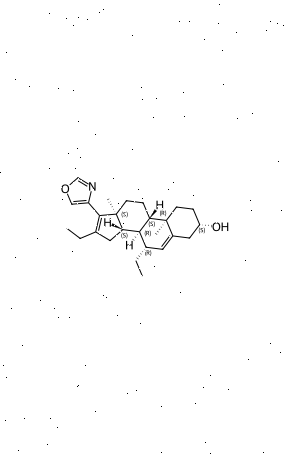 CCC1=C(c2cocn2)[C@@]2(C)CC[C@H]3[C@@H]([C@@H](CC)C=C4C[C@@H](O)CC[C@@]43C)[C@@H]2C1